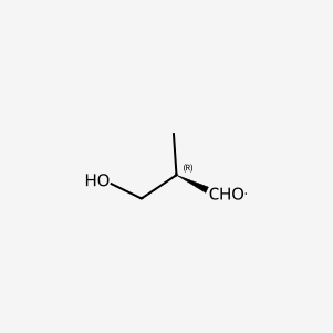 C[C@@H]([C]=O)CO